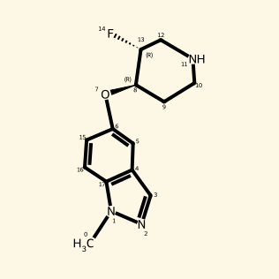 Cn1ncc2cc(O[C@@H]3CCNC[C@H]3F)ccc21